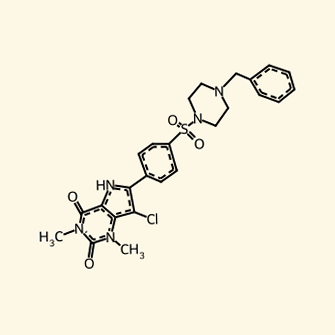 Cn1c(=O)c2[nH]c(-c3ccc(S(=O)(=O)N4CCN(Cc5ccccc5)CC4)cc3)c(Cl)c2n(C)c1=O